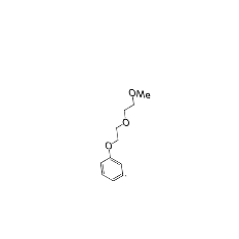 COCCOCCOc1c[c]ccc1